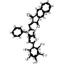 O=C1C(=Cc2nc3sc(-c4c(F)c(F)c(F)c(F)c4F)cc3n2-c2ccccc2)C(=O)c2cc3ccccc3cc21